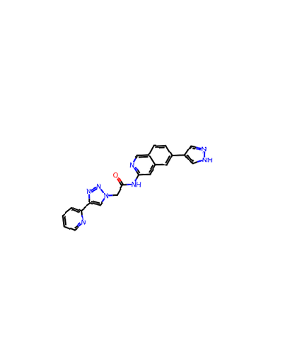 O=C(Cn1cc(-c2ccccn2)nn1)Nc1cc2cc(-c3cn[nH]c3)ccc2cn1